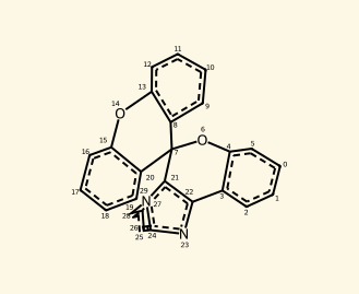 c1ccc2c(c1)OC1(c3ccccc3Oc3ccccc31)c1c-2nc2ccccn12